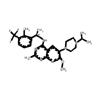 COc1nc2nc(C)nc(N[C@H](C)c3cccc(C(F)(F)F)c3C)c2cc1N1CCN(C(C)C)CC1